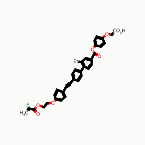 C=C(F)C(=O)OCCOc1ccc(C#Cc2ccc(-c3ccc(C(=O)Oc4ccc(OCC(=O)O)cc4)cc3CC)cc2)cc1